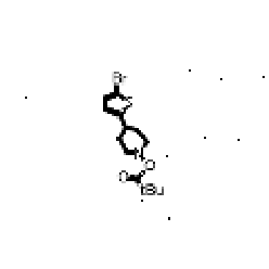 CC(C)(C)C(=O)ON1CCC(c2ccc(Br)s2)CC1